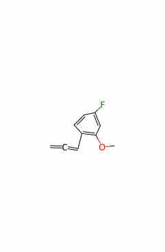 C=C=Cc1ccc(F)cc1OC